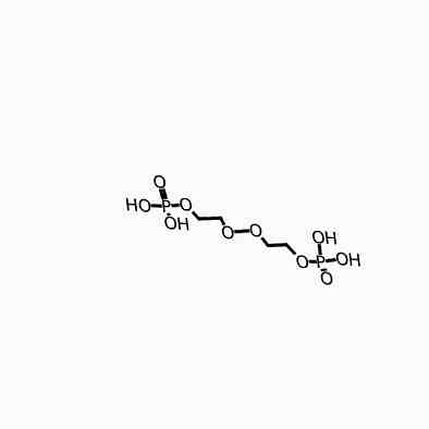 O=P(O)(O)OCCOOCCOP(=O)(O)O